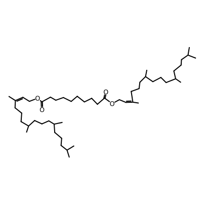 CC(=CCOC(=O)CCCCCCCCC(=O)OCC=C(C)CCCC(C)CCCC(C)CCCC(C)C)CCCC(C)CCCC(C)CCCC(C)C